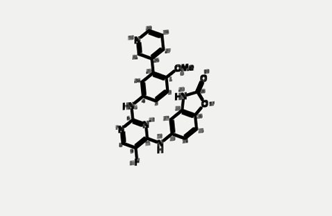 COc1ccc(Nc2ncc(F)c(Nc3ccc4oc(=O)[nH]c4c3)n2)cc1-c1cccnc1